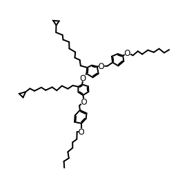 CCCCCCCCOc1ccc(COc2ccc(Oc3ccc(OCc4ccc(OCCCCCCCC)cc4)cc3CCCCCCCCCC3CC3)c(CCCCCCCCCC3CC3)c2)cc1